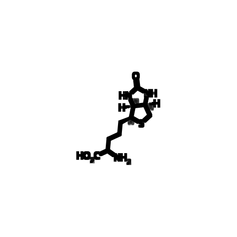 NC(CCC[C@@H]1SC[C@@H]2NC(=O)N[C@@H]21)C(=O)O